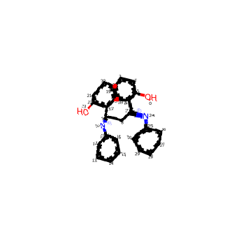 Oc1ccccc1/C(C/C(=N\c1ccccc1)c1ccccc1O)=N/c1ccccc1